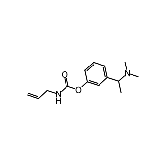 C=CCNC(=O)Oc1cccc(C(C)N(C)C)c1